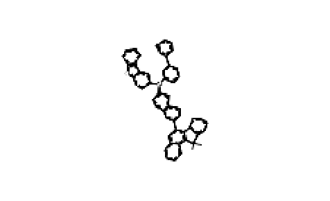 CC1(C)c2ccccc2-c2c(-c3ccc4cc(N(c5cccc(-c6ccccc6)c5)c5ccc6oc7ccccc7c6c5)ccc4c3)cc3ccccc3c21